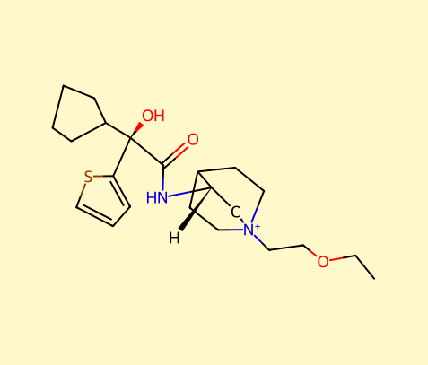 CCOCC[N+]12CCC(CC1)[C@@H](NC(=O)[C@](O)(c1cccs1)C1CCCC1)C2